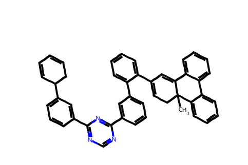 CC12CC=C(c3ccccc3-c3cccc(-c4ncnc(-c5cccc(C6C=CC=CC6)c5)n4)c3)C=C1c1ccccc1-c1ccccc12